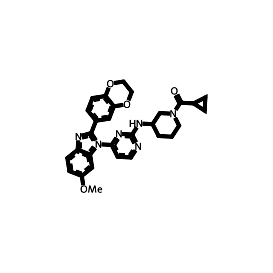 COc1ccc2nc(-c3ccc4c(c3)OCCO4)n(-c3ccnc(NC4CCCN(C(=O)C5CC5)C4)n3)c2c1